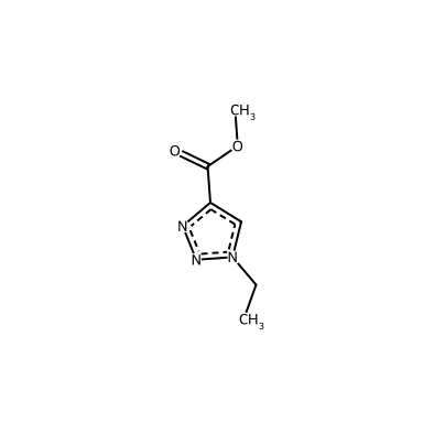 CCn1cc(C(=O)OC)nn1